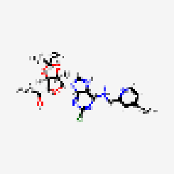 CNC(=O)[C@H]1O[C@@H](n2cnc3c(NCc4cc(OC)ccn4)nc(Cl)nc32)[C@@H]2OC(C)(C)O[C@@H]21